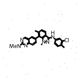 CNc1ncc2cc(-c3c(C)ccc4c(Nc5ccc(C)c(Cl)c5)nn(C)c34)ccc2n1